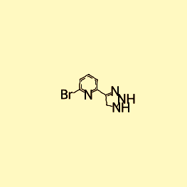 Brc1cccc(C2=NNNC2)n1